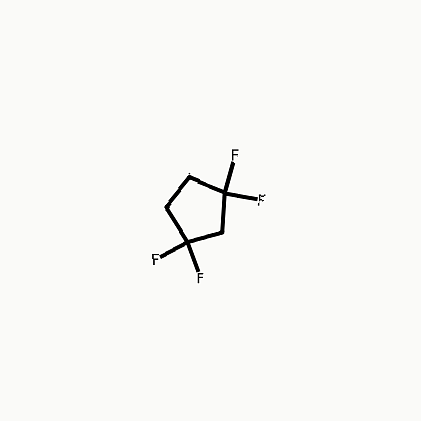 FC1(F)[CH]CC(F)(F)C1